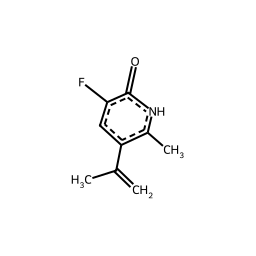 C=C(C)c1cc(F)c(=O)[nH]c1C